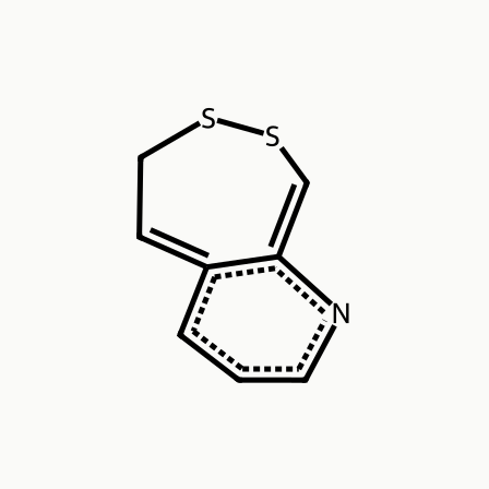 C1=c2cccnc2=CSSC1